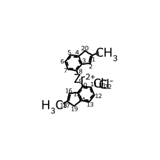 CC1=Cc2c(ccc[c]2[Zr+2][c]2cccc3c2C=C(C)C3)C1.[Cl-].[Cl-]